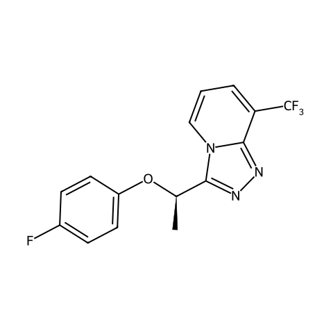 C[C@@H](Oc1ccc(F)cc1)c1nnc2c(C(F)(F)F)cccn12